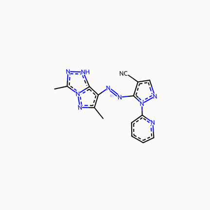 Cc1nn2c(C)n[nH]c2c1/N=N/c1c(C#N)cnn1-c1ccccn1